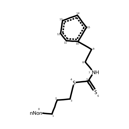 CCCCCCCCCCCCSC(=S)NCCc1ccccc1